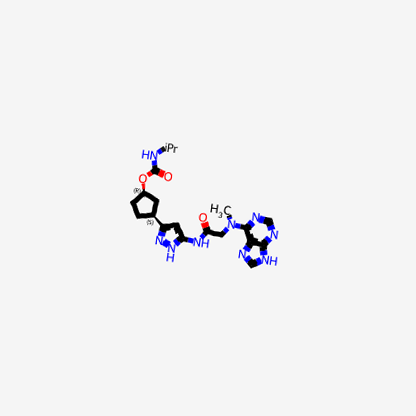 CC(C)NC(=O)O[C@@H]1CC[C@H](c2cc(NC(=O)CN(C)c3ncnc4[nH]cnc34)[nH]n2)C1